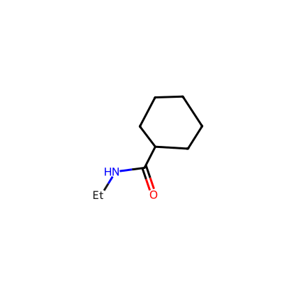 CCNC(=O)C1CCCCC1